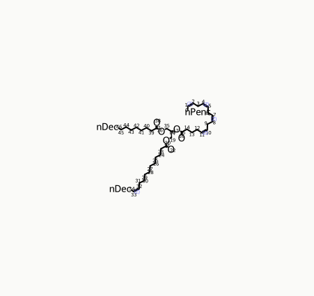 CCCCC/C=C\C/C=C\C/C=C\C/C=C\CCCC(=O)O[C@@H](COC(=O)CCCCCCCCC/C=C\CCCCCCCCCC)COC(=O)CCCCCCCCCCCCCCCCC